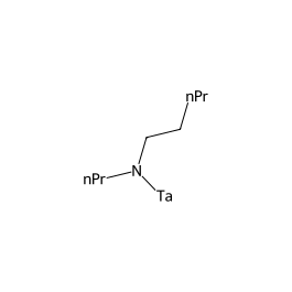 CCCCC[N]([Ta])CCC